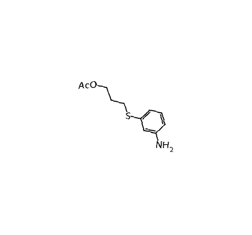 CC(=O)OCCCSc1cccc(N)c1